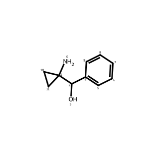 NC1(C(O)c2ccccc2)CC1